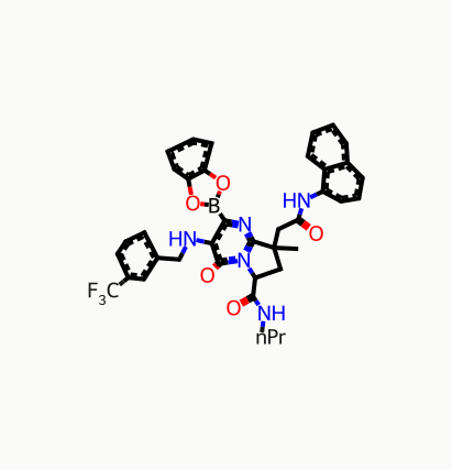 CCCNC(=O)C1CC(C)(CC(=O)Nc2cccc3ccccc23)c2nc(B3Oc4ccccc4O3)c(NCc3cccc(C(F)(F)F)c3)c(=O)n21